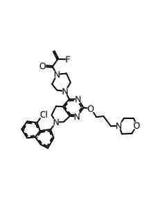 C=C(F)C(=O)N1CCN(c2nc(OCCCN3CCOCC3)nc3c2CCN(c2cccc4cccc(Cl)c24)C3)CC1